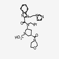 CC(C)CN(C(=O)c1nc2ccccc2n1CCn1ccnc1)[C@H]1C[C@@H](C(=O)N2CCOCC2)CN(C(=O)O)C1